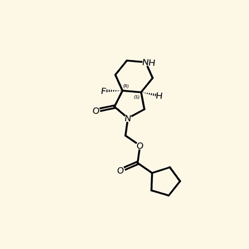 O=C(OCN1C[C@@H]2CNCC[C@]2(F)C1=O)C1CCCC1